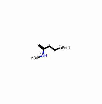 C=C(CCCCCCC)NCCCC